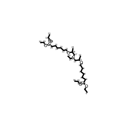 CCO[SiH](CCCCCCOC(C)CN(CC)CC(C)OCCCCCC[SiH](OCC)OCC)OCC